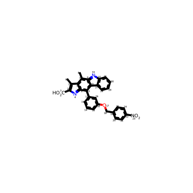 CC1=C(C(=O)O)N=c2c1c(C)c1c(c2-c2cccc(OCc3ccc([N+](=O)[O-])cc3)c2)-c2ccccc2N=1